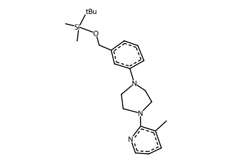 Cc1cccnc1N1CCN(c2cccc(CO[Si](C)(C)C(C)(C)C)c2)CC1